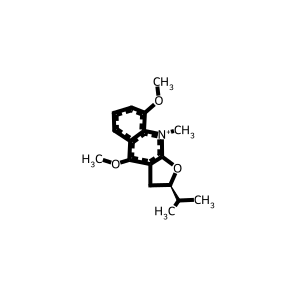 COc1c2c([n+](C)c3c(OC)cccc13)O[C@@H](C(C)C)C2